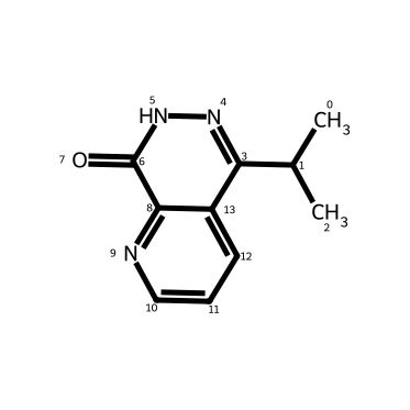 CC(C)c1n[nH]c(=O)c2ncccc12